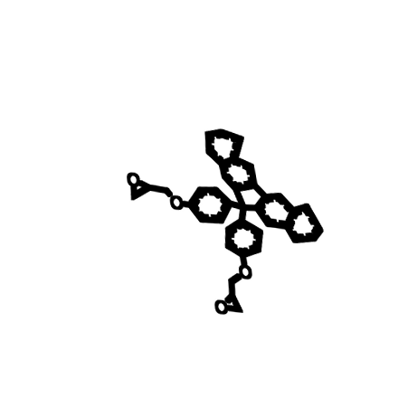 c1ccc2cc3c(cc2c1)-c1cc2ccccc2cc1C3(c1ccc(OCC2CO2)cc1)c1ccc(OCC2CO2)cc1